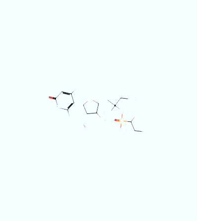 CCC(O)P(=O)(O)OC(C)(CC)C[C@H]1O[C@@H](c2c(F)cc(=O)[nH]c2F)[C@@H](OC)C1O